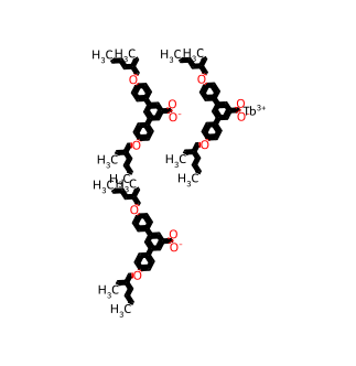 CCCCC(CC)COc1ccc(-c2cc(C(=O)[O-])cc(-c3ccc(OCC(CC)CCCC)cc3)c2)cc1.CCCCC(CC)COc1ccc(-c2cc(C(=O)[O-])cc(-c3ccc(OCC(CC)CCCC)cc3)c2)cc1.CCCCC(CC)COc1ccc(-c2cc(C(=O)[O-])cc(-c3ccc(OCC(CC)CCCC)cc3)c2)cc1.[Tb+3]